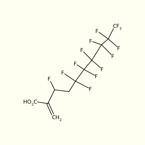 C=C(C(=O)O)C(F)CC(F)(F)C(F)(F)C(F)(F)C(F)(F)C(F)(F)C(F)(F)F